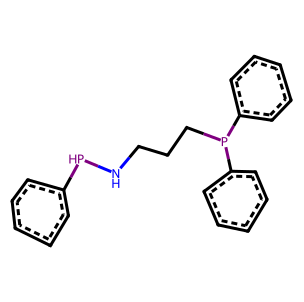 c1ccc(PNCCCP(c2ccccc2)c2ccccc2)cc1